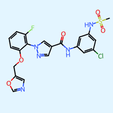 CS(=O)(=O)Nc1cc(Cl)cc(NC(=O)c2cnn(-c3c(F)cccc3OCc3cnco3)c2)c1